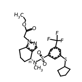 CCOC(=O)Cn1ncc2c1CCC[C@H]2N(C)S(=O)(=O)c1cc(SC2CCCC2)cc(C(F)(F)F)c1